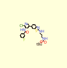 CC(C)(C)OC(=O)NCCCNc1nc2ccc(-c3cnc(Cl)c(NC(=O)c4cccc(F)c4)c3)cc2s1